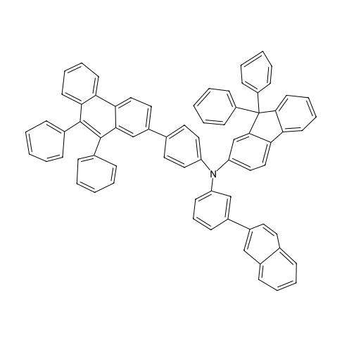 c1ccc(-c2c(-c3ccccc3)c3cc(-c4ccc(N(c5cccc(-c6ccc7ccccc7c6)c5)c5ccc6c(c5)C(c5ccccc5)(c5ccccc5)c5ccccc5-6)cc4)ccc3c3ccccc23)cc1